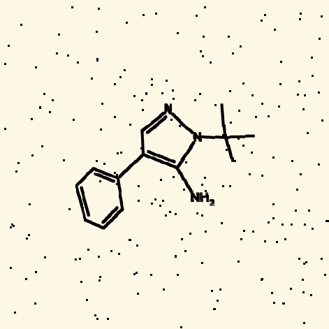 CC(C)(C)n1ncc(-c2ccccc2)c1N